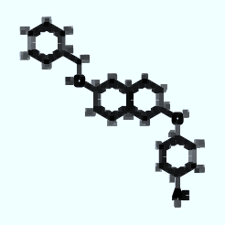 CC(=O)c1ccc(Oc2ccc3cc(OCc4ccccc4)ccc3c2)cc1